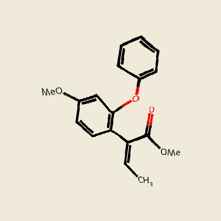 CC=C(C(=O)OC)c1ccc(OC)cc1Oc1ccccc1